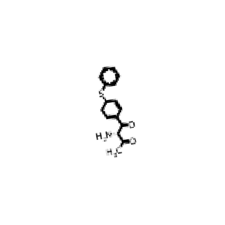 CC(=O)[C@H](N)C(=O)C1=CC[C@@H](Sc2ccccc2)C=C1